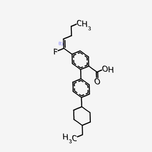 CCC/C=C(/F)c1ccc(C(=O)O)c(-c2ccc(C3CCC(CC)CC3)cc2)c1